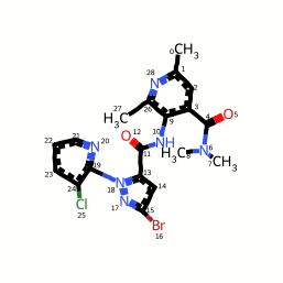 Cc1cc(C(=O)N(C)C)c(NC(=O)c2cc(Br)nn2-c2ncccc2Cl)c(C)n1